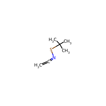 C=C=NSC(C)(C)C